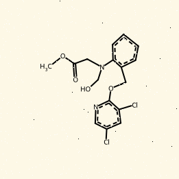 COC(=O)CN(CO)c1ccccc1COc1ncc(Cl)cc1Cl